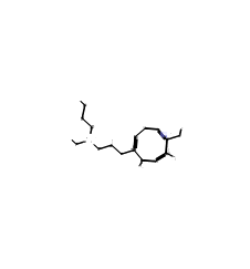 CCCCN(CC)CCCC1=CC/C=C(/CC)C(C)=CC1F